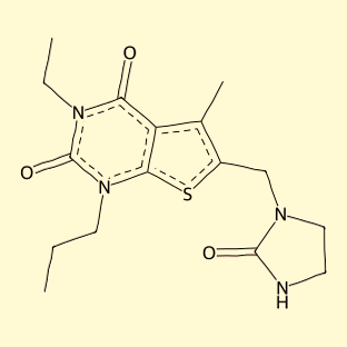 CCCn1c(=O)n(CC)c(=O)c2c(C)c(CN3CCNC3=O)sc21